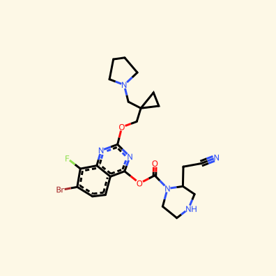 N#CCC1CNCCN1C(=O)Oc1nc(OCC2(CN3CCCC3)CC2)nc2c(F)c(Br)ccc12